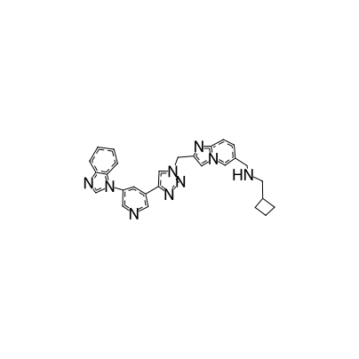 c1ccc2c(c1)ncn2-c1cncc(-c2cn(Cc3cn4cc(CNCC5CCC5)ccc4n3)nn2)c1